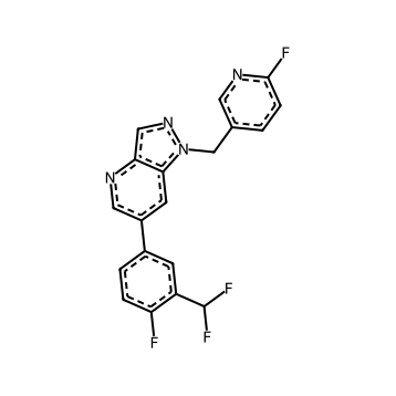 Fc1ccc(Cn2ncc3ncc(-c4ccc(F)c(C(F)F)c4)cc32)cn1